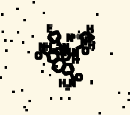 N#C[C@@H]1C[C@@H]2C[C@@H]2N1C(=O)CNCCC1(c2nnc(-c3ccc(F)cc3)o2)c2ccc(C(N)=O)cc2CCc2cc(C(N)=O)ccc21